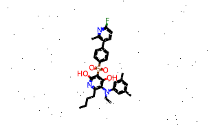 CCCCc1nc(O)c(S(=O)(=O)c2ccc(-c3ccc(F)nc3C)cc2)c(O)c1N(CC)c1cc(C)cc(C)c1